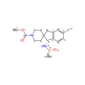 CC(C)(C)OC(=O)N1CCC2(CC1)Cc1cc(F)ccc1[C@@H]2N[S@@+]([O-])C(C)(C)C